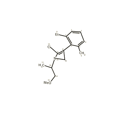 CCc1cccc(C)c1C1=C(Cl)N(C(C)COC)C1